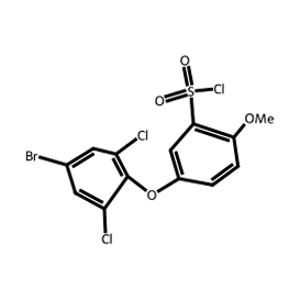 COc1ccc(Oc2c(Cl)cc(Br)cc2Cl)cc1S(=O)(=O)Cl